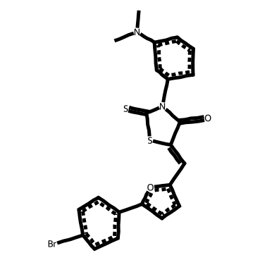 CN(C)c1cccc(N2C(=O)C(=Cc3ccc(-c4ccc(Br)cc4)o3)SC2=S)c1